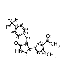 CC(=O)c1sc(C2CNC(=O)N2Cc2ccc(C(F)(F)F)cc2)nc1C